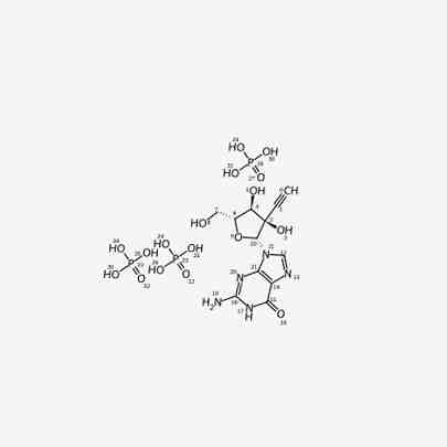 C#C[C@@]1(O)[C@H](O)[C@@H](CO)O[C@H]1n1cnc2c(=O)[nH]c(N)nc21.O=P(O)(O)O.O=P(O)(O)O.O=P(O)(O)O